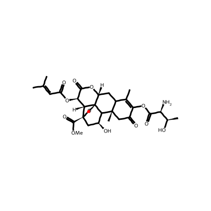 COC(=O)[C@@]12C[C@H](O)C3[C@@]4(C)CC(=O)C(OC(=O)[C@@H](N)[C@@H](C)O)=C(C)C4C[C@H]4OC(=O)[C@H](OC(=O)C=C(C)C)[C@@H]1[C@@]34CO2